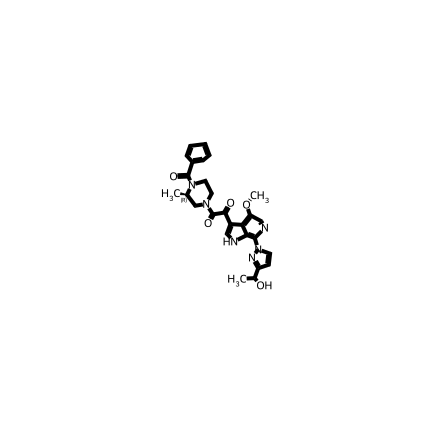 COc1cnc(-n2ccc(C(C)O)n2)c2[nH]cc(C(=O)C(=O)N3CCN(C(=O)c4ccccc4)[C@H](C)C3)c12